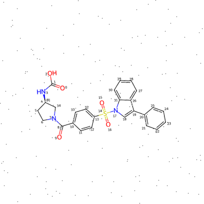 O=C(O)N[C@@H]1CCN(C(=O)c2ccc(S(=O)(=O)n3cc(-c4ccccc4)c4ccccc43)cc2)C1